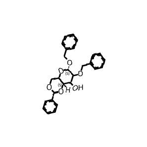 OC1C(OCc2ccccc2)[C@@H](OCc2ccccc2)OC2COC(c3ccccc3)O[C@H]21